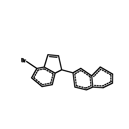 Brc1cccc2c1C=CC2c1ccc2ccccc2c1